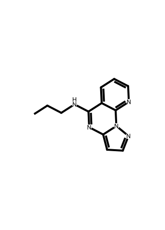 CCCNc1nc2ccnn2c2ncccc12